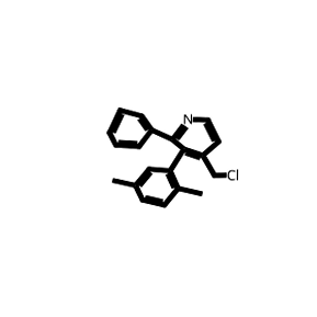 Cc1ccc(C)c(-c2c(CCl)ccnc2-c2ccccc2)c1